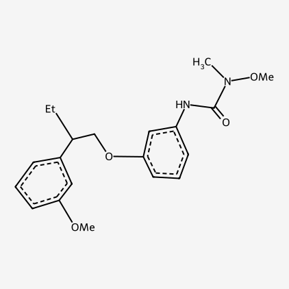 CCC(COc1cccc(NC(=O)N(C)OC)c1)c1cccc(OC)c1